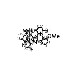 COc1cccc(-c2nnc(NS(=O)(=O)[C@@H](C)[C@H](C)c3ncc(F)cn3)n2-c2nc(Br)ccc2OC)n1